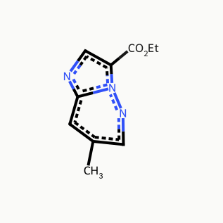 CCOC(=O)c1cnc2cc(C)cnn12